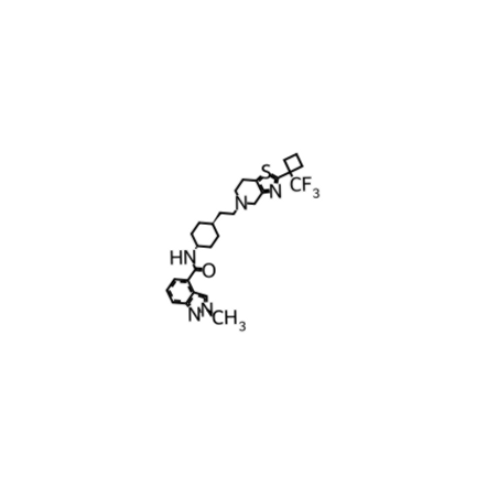 Cn1cc2c(C(=O)N[C@H]3CC[C@H](CCN4CCc5sc(C6(C(F)(F)F)CCC6)nc5C4)CC3)cccc2n1